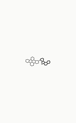 c1ccc2c(c1)ccc1sc3c(C4CCC5C(C4)C4CCCC6C7CCCCC7C7CCCC5C7C64)cccc3c12